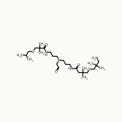 CC(C)COCC(C)(C)C(=O)NCCCN(CC=O)CCCNC(=O)CC(C)(C)COCC(C)(C)CN